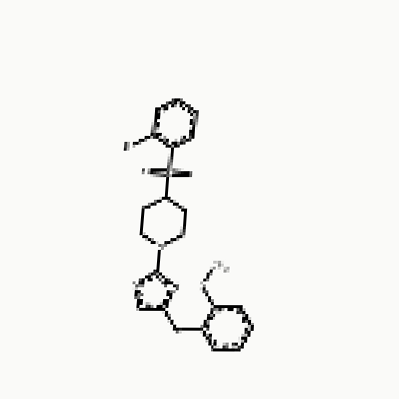 COc1ccccc1Cc1csc(N2CCC(S(=O)(=O)c3ccccc3Br)CC2)n1